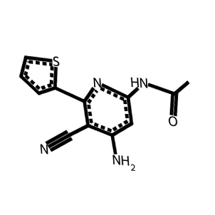 CC(=O)Nc1cc(N)c(C#N)c(-c2cccs2)n1